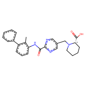 Cc1c(NC(=O)c2ncc(CN3CCCC[C@H]3C(=O)O)cn2)cccc1-c1ccccc1